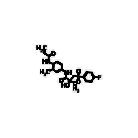 C=CC(=O)Nc1ccc(NC(=O)[C@@](C)(O)CS(=O)(=O)c2ccc(F)cc2)cc1C